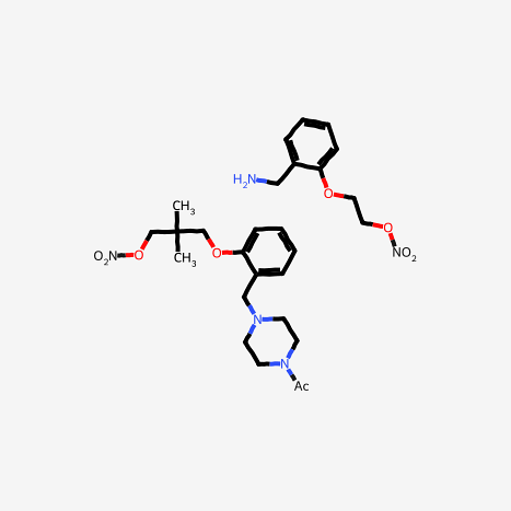 CC(=O)N1CCN(Cc2ccccc2OCC(C)(C)CO[N+](=O)[O-])CC1.NCc1ccccc1OCCO[N+](=O)[O-]